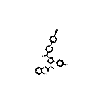 CN(C(=O)Oc1ccccc1Cl)[C@@H]1CN(C(=O)C2CCN(c3ccc(C#N)cn3)CC2)C[C@H]1c1ccc(Cl)cc1